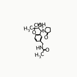 CC(=O)NCc1ccc2c(c1)C(N1CCCC1=O)C(O)C(C)(C)O2